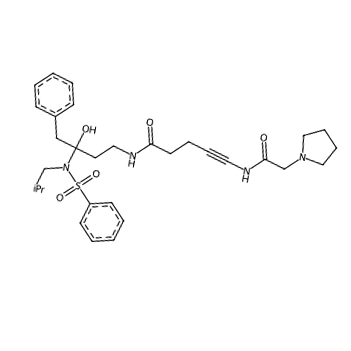 CC(C)CN(C(O)(CCNC(=O)CCC#CNC(=O)CN1CCCC1)Cc1ccccc1)S(=O)(=O)c1ccccc1